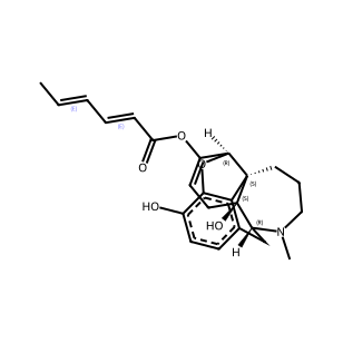 C/C=C/C=C/C(=O)OC1=CC[C@@]2(O)[C@H]3Cc4ccc(O)c5c4[C@@]2(CCCN3C)[C@H]1O5